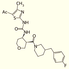 CC(=O)c1sc(NC(=O)N[C@@H]2CCOC[C@@H]2C(=O)N2CCCC(Cc3ccc(F)cc3)C2)nc1C